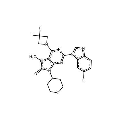 Cn1c(=O)n(C2CCOCC2)c2nc(-n3cnc4ccc(Cl)cc43)nc(N3CC(F)(F)C3)c21